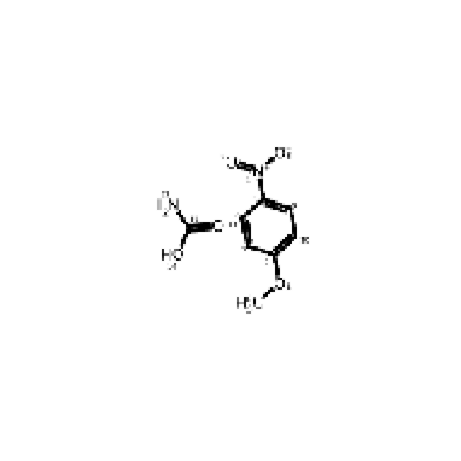 COc1ccc([N+](=O)[O-])cc1.NC(=O)O